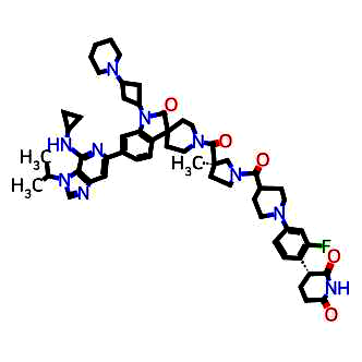 CC(C)n1cnc2cc(-c3ccc4c(c3)N(C3CC(N5CCCCC5)C3)C(=O)C43CCN(C(=O)[C@]4(C)CCN(C(=O)C5CCN(c6ccc([C@H]7CCC(=O)NC7=O)c(F)c6)CC5)C4)CC3)nc(NC3CC3)c21